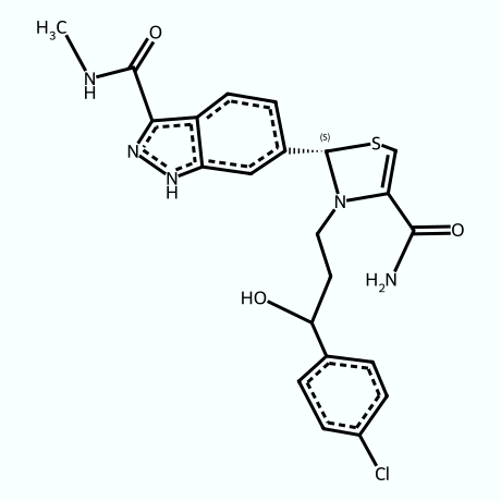 CNC(=O)c1n[nH]c2cc([C@@H]3SC=C(C(N)=O)N3CCC(O)c3ccc(Cl)cc3)ccc12